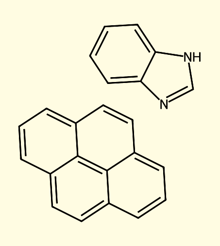 c1cc2ccc3cccc4ccc(c1)c2c34.c1ccc2[nH]cnc2c1